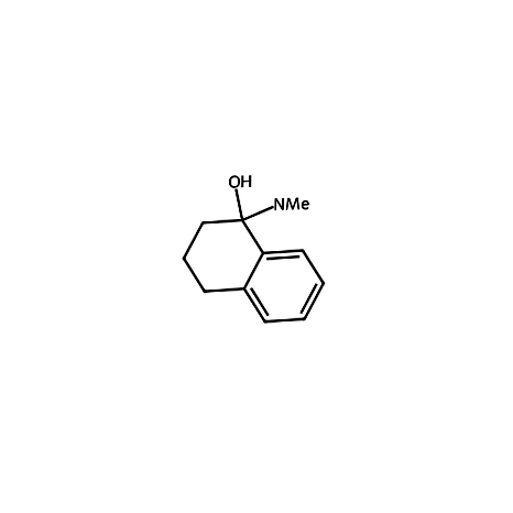 CNC1(O)CCCc2ccccc21